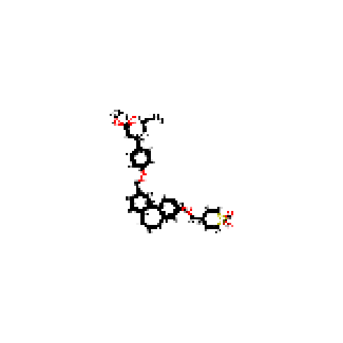 CCC[C@@H](CC(=O)OC)c1ccc(OCc2ccc3c(c2)-c2ccc(OCC4CCS(=O)(=O)CC4)cc2CCC3)cc1